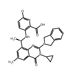 Cc1cc([C@@H](C)Nc2ccc(Cl)nc2C(=O)O)c2nc(N3Cc4ccccc4C3)n(C3CC3)c(=O)c2c1